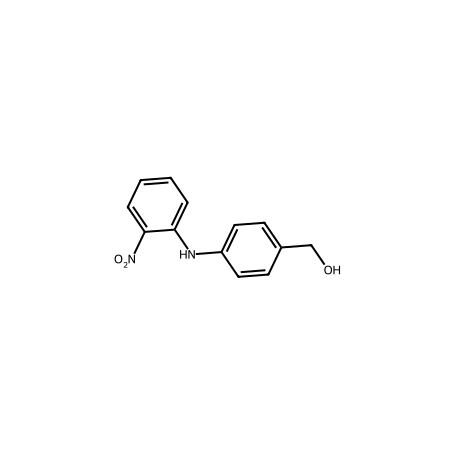 O=[N+]([O-])c1ccccc1Nc1ccc(CO)cc1